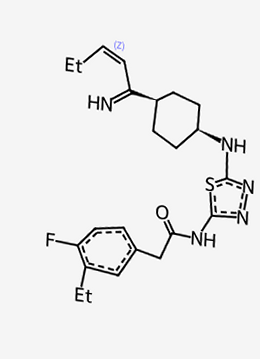 CC/C=C\C(=N)[C@H]1CC[C@@H](Nc2nnc(NC(=O)Cc3ccc(F)c(CC)c3)s2)CC1